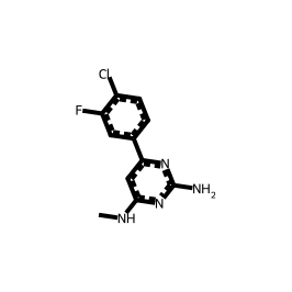 CNc1cc(-c2ccc(Cl)c(F)c2)nc(N)n1